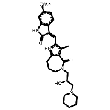 COc1ccc2c(c1)NC(=O)/C2=C\c1[nH]c2c(c1C)C(=O)N(C[C@H](O)CN1CCCCC1)CCC2